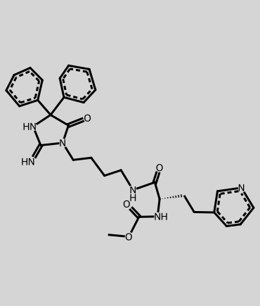 COC(=O)N[C@@H](CCc1cccnc1)C(=O)NCCCCN1C(=N)NC(c2ccccc2)(c2ccccc2)C1=O